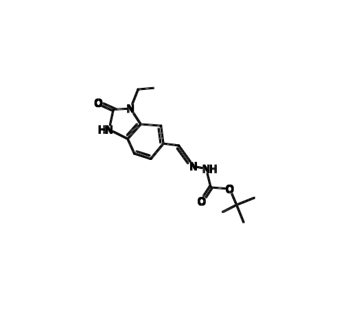 CCn1c(=O)[nH]c2ccc(/C=N/NC(=O)OC(C)(C)C)cc21